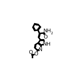 CC(=O)Oc1ccc2c(C=C(C(N)=O)c3ccccc3)c[nH]c2n1